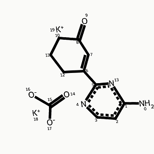 Nc1ccnc(C2=CC(=O)CCC2)n1.O=C([O-])[O-].[K+].[K+]